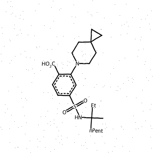 CCCCCC(C)(CC)NS(=O)(=O)c1ccc(C(=O)O)c(N2CCC3(CC2)CC3)c1